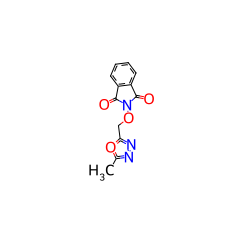 Cc1nnc(CON2C(=O)c3ccccc3C2=O)o1